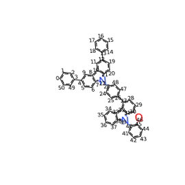 c1ccc(-c2ccc3c(c2)c2cc(-c4ccccc4)ccc2n3-c2ccc(-c3ccc4c5c3c3ccccc3n5-c3ccccc3O4)cc2)cc1